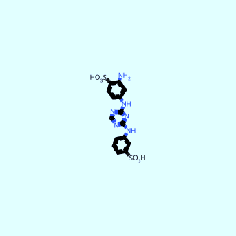 Nc1cc(Nc2ncnc(Nc3cccc(S(=O)(=O)O)c3)n2)ccc1S(=O)(=O)O